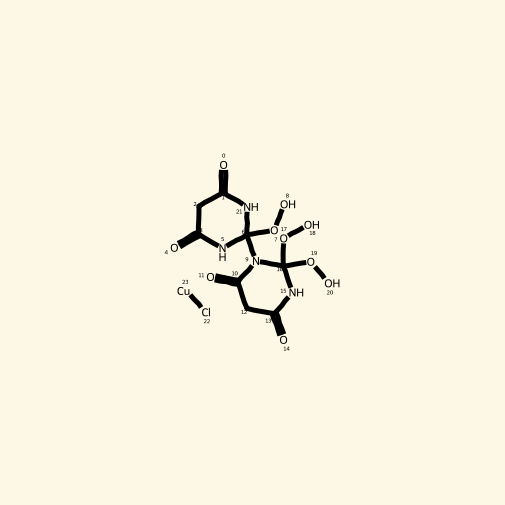 O=C1CC(=O)NC(OO)(N2C(=O)CC(=O)NC2(OO)OO)N1.[Cl][Cu]